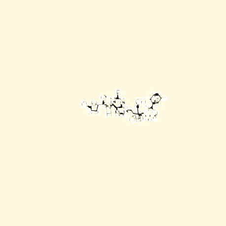 C#CC(COC(=O)C12CCC(CC1)CC2)(OC)[C@@H](O)Cn1cnc2c(NC(=O)[C@H]3CCC(=O)O3)nc(F)nc21